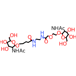 CC(=O)NC1C(O)[C@@H](O)C(CO)O[C@H]1OCCCCC(=O)NCCNC(=O)COCCO[C@@H]1OC(CO)[C@H](O)C(O)C1NC(C)=O